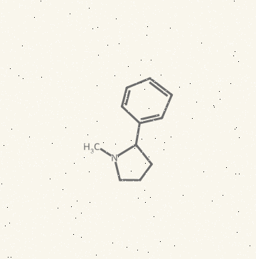 CN1CCC[C]1c1ccccc1